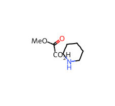 C1CCNCC1.COC(=O)C(=O)O